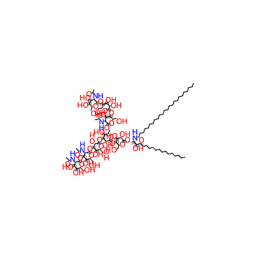 CCCCCCCCCCCCC/C=C/[C@@H](O)[C@H](CO[C@@H]1OC(CO)[C@@H](O[C@@H]2OC(CO[C@@H]3OC(CO)[C@@H](O[C@@H]4OC(CO)[C@H](O[C@@H]5OC(CO)[C@H](O)[C@H](O)C5NC(C)=O)[C@H](O)C4O)[C@H](O)C3NC(C)=O)[C@H](O)[C@H](O[C@H]3OC(CO)[C@H](O)[C@H](O[C@@H]4OC(CO)[C@H](O)[C@H](O[C@H]5OC(CO)[C@H](O)[C@H](O)C5NC(C)=O)C4NC(C)=O)C3O)C2O)[C@H](O)C1O)NC(=O)CCCCCCCCCCCCCCCCCCCCCCC